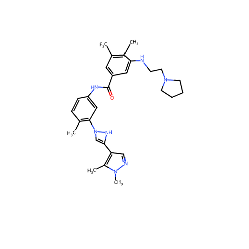 Cc1ccc(NC(=O)c2cc(NCCN3CCCC3)c(C)c(C(F)(F)F)c2)cc1-n1cc(-c2cnn(C)c2C)[nH]1